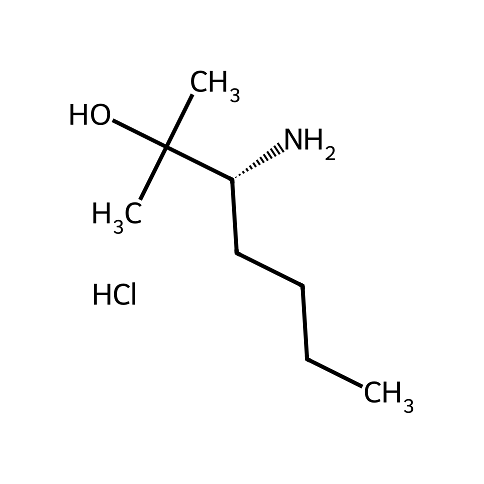 CCCC[C@@H](N)C(C)(C)O.Cl